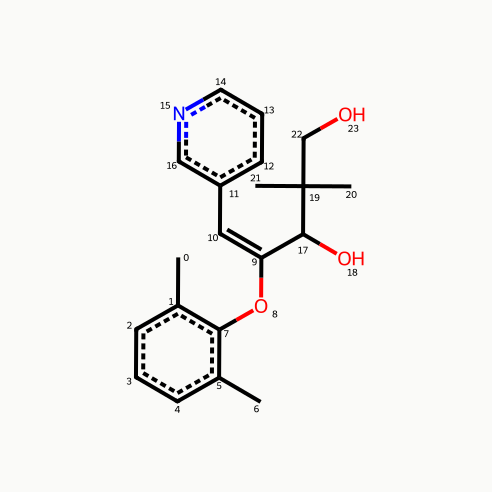 Cc1cccc(C)c1OC(=Cc1cccnc1)C(O)C(C)(C)CO